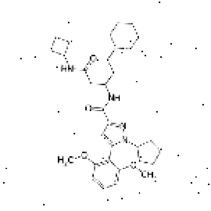 COc1cccc(OC)c1-c1cc(C(=O)NC(CCC2CCCCC2)CC(=O)NC2CCC2)nn1C1CCCC1